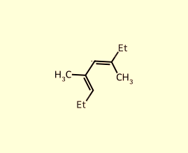 CCC=C(C)/[C]=C(\C)CC